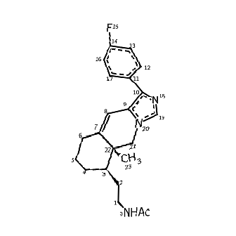 CC(=O)NCC[C@H]1CCCC2=Cc3c(-c4ccc(F)cc4)ncn3C[C@@]21C